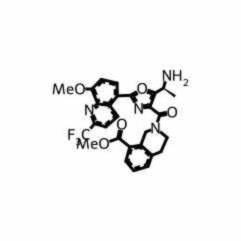 COC(=O)c1cccc2c1CN(C(=O)c1nc(-c3ccc(OC)c4nc(C(F)(F)F)ccc34)oc1[C@H](C)N)CC2